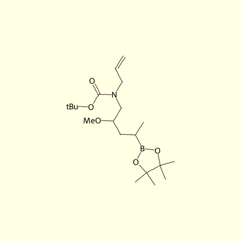 C=CCN(CC(CC(C)B1OC(C)(C)C(C)(C)O1)OC)C(=O)OC(C)(C)C